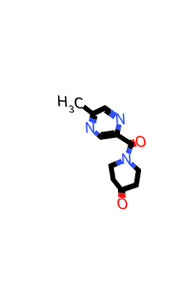 Cc1cnc(C(=O)N2CCC(=O)CC2)cn1